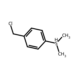 C[SH](C)c1ccc(CCl)cc1